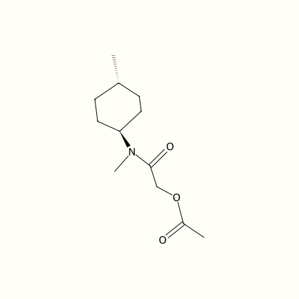 CC(=O)OCC(=O)N(C)[C@H]1CC[C@H](C)CC1